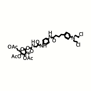 CC(=O)OC[C@H]1O[C@@H](OC(=O)NCC(=O)Nc2ccc(NC(=O)CCCc3ccc(N(CCCl)CCCl)cc3)cc2)[C@H](F)[C@@H](OC(C)=O)[C@@H]1OC(C)=O